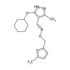 Cc1n[nH]c(OC2CCCCC2)c1/C=N/OCc1ccc(C(F)(F)F)s1